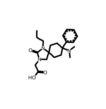 CCCN1C(=O)N(CC(=O)O)CC12CCC(c1ccccc1)(N(C)C)CC2